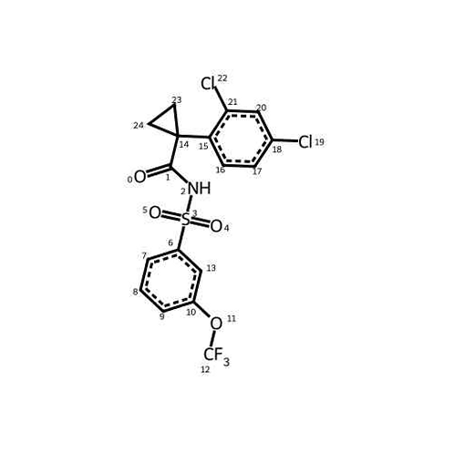 O=C(NS(=O)(=O)c1cccc(OC(F)(F)F)c1)C1(c2ccc(Cl)cc2Cl)CC1